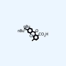 CCCCN(CCCC)c1ccc(C(=O)c2cc(C)ccc2C(=O)O)c(O)c1